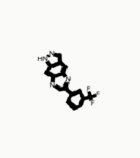 FC(F)(F)c1cccc(-c2cnc3cc4[nH]ncc4cc3n2)c1